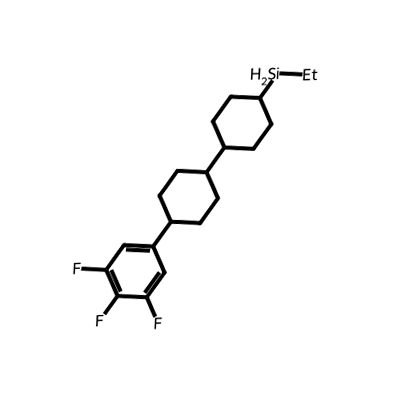 CC[SiH2]C1CCC(C2CCC(c3cc(F)c(F)c(F)c3)CC2)CC1